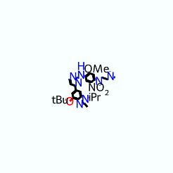 COc1cc(N(C)CCN(C)C)c([N+](=O)[O-])cc1Nc1nccc(-c2cc(OC(C)(C)C)c3nc(C)n(C(C)C)c3c2)n1